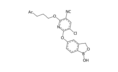 [C-]#[N+]c1cc(Cl)c(Oc2ccc3c(c2)COB3O)nc1OCCCC(C)=O